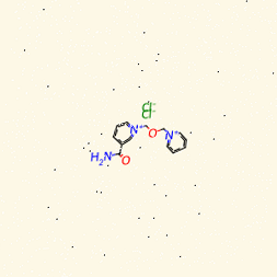 NC(=O)c1ccc[n+](COC[n+]2ccccc2)c1.[Cl-].[Cl-]